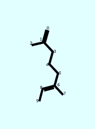 C=C(C)CCCC(C)=CC